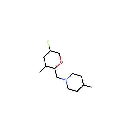 CC1CCN(CC2OCC(F)CC2C)CC1